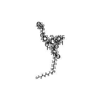 CCCCCCCC/C=C\CCCCCCCC(=O)N1CCC(NC(=O)C2=CN(C(=O)c3ccc(OCCCN4CCOCC4)cc3)CC(C)(C)c3c2[nH]c2cc(F)ccc32)CC1